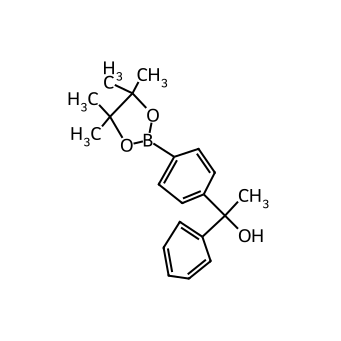 CC(O)(c1ccccc1)c1ccc(B2OC(C)(C)C(C)(C)O2)cc1